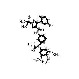 COc1cc(N(C(C)=O)c2cccc(NC(=O)c3cn(C(C)(C)C)nc3-c3cc(F)ccc3Cl)c2)cc(OC)c1OC